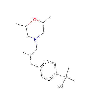 CCCC[Si](C)(C)c1ccc(CC(C)CN2CC(C)OC(C)C2)cc1